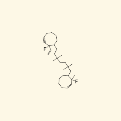 C=CC1(F)C#CCCCCC1CCC(C)(C)CCC(C)(C)CC1CCCC/C=C\C1(C)F